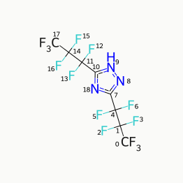 FC(F)(F)C(F)(F)C(F)(F)c1n[nH]c(C(F)(F)C(F)(F)C(F)(F)F)n1